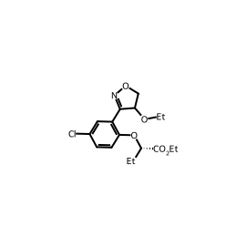 CCOC(=O)[C@H](CC)Oc1ccc(Cl)cc1C1=NOCC1OCC